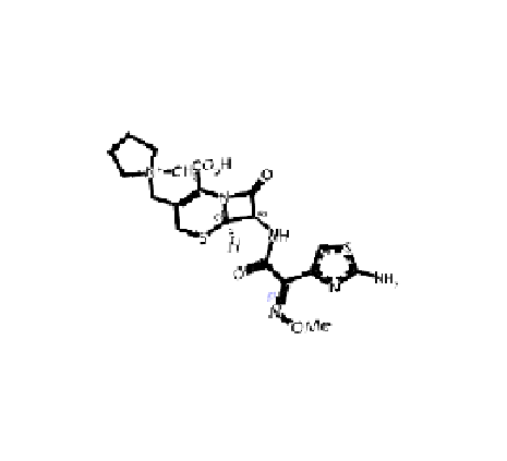 CO/N=C(/C(=O)N[C@@H]1C(=O)N2C(C(=O)O)=C(C[N+]3(C)CCCC3)CS[C@H]12)c1csc(N)n1